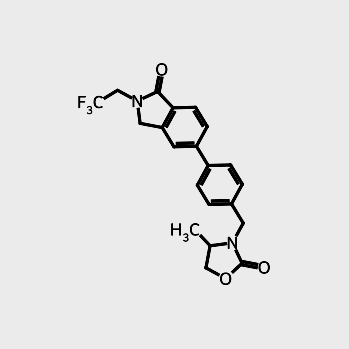 CC1COC(=O)N1Cc1ccc(-c2ccc3c(c2)CN(CC(F)(F)F)C3=O)cc1